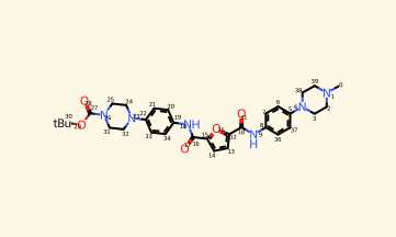 CN1CCN(c2ccc(NC(=O)c3ccc(C(=O)Nc4ccc(N5CCN(C(=O)OC(C)(C)C)CC5)cc4)o3)cc2)CC1